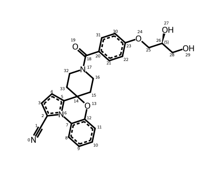 N#Cc1ccc2n1-c1ccccc1OC21CCN(C(=O)c2ccc(OC[C@@H](O)CO)cc2)CC1